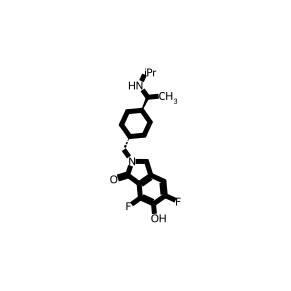 CC(C)NC(C)[C@H]1CC[C@H](CN2Cc3cc(F)c(O)c(F)c3C2=O)CC1